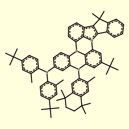 Cc1cc(C(C)(C)C)ccc1N(c1ccc2c(c1)N(c1cc3c(cc1C)C(C)(C)CCC3(C)C)c1cc(C(C)(C)C)cc3c1B2c1cccc2c4c(n-3c12)-c1ccccc1C4(C)C)c1ccc(C(C)(C)C)cc1C